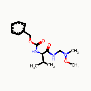 CON(C)CNC(=O)[C@H](NC(=O)OCc1ccccc1)C(C)C